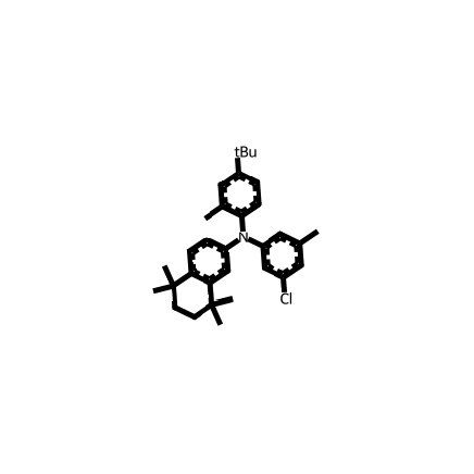 Cc1cc(Cl)cc(N(c2ccc3c(c2)C(C)(C)CCC3(C)C)c2ccc(C(C)(C)C)cc2C)c1